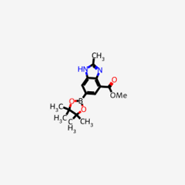 COC(=O)c1cc(B2OC(C)(C)C(C)(C)O2)cc2[nH]c(C)nc12